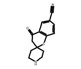 N#Cc1ccc2c(c1)C(=O)CC1(CCNCC1)S2